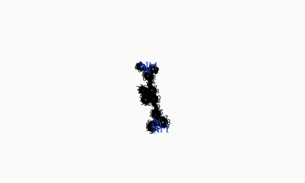 C1=CNC(n2c3ccccc3c3cc(/C=C/c4ccc5c(c4)C4(c6ccccc6-c6ccccc64)c4cc(/C=C/c6ccc7c(c6)c6ccccc6n7C6C=CC=CN6)ccc4-5)ccc32)C=C1